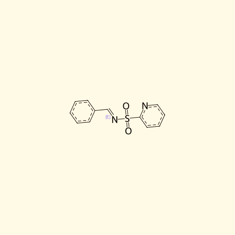 O=S(=O)(/N=C/c1ccccc1)c1ccccn1